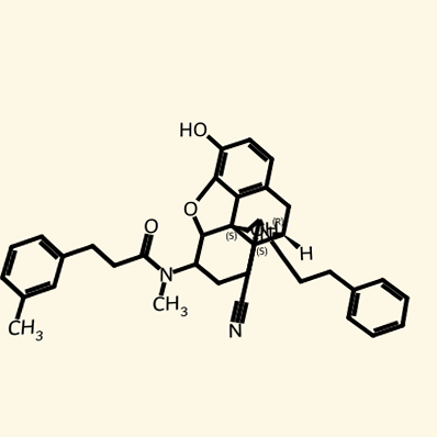 Cc1cccc(CCC(=O)N(C)C2CC[C@@]3(O)[C@H]4Cc5ccc(O)c6c5[C@@]3(CC(C#N)N4CCc3ccccc3)C2O6)c1